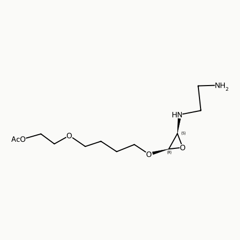 CC(=O)OCCOCCCCO[C@@H]1O[C@@H]1NCCN